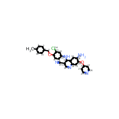 Cc1ccc(COc2ccc(Nc3c(C#N)cnc4cc(Oc5ccncc5)c(N)cc34)cc2Cl)cc1